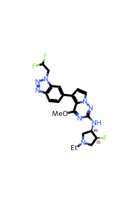 CCN1C[C@H](F)[C@H](Nc2nc(OC)c3c(-c4ccc5nnn(CC(F)F)c5c4)ccn3n2)C1